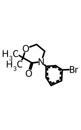 CC1(C)OCCN(c2cccc(Br)c2)C1=O